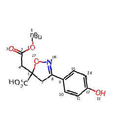 CCCCOC(=O)CC1(C(=O)O)CC(c2ccc(O)cc2)=NO1